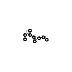 c1ccc(-c2cccc(Nc3ccc(-c4ccc5c(c4)c4ccccc4n5-c4ccc(-c5ccc6oc7ccccc7c6c5)cc4)cc3-c3ccccc3)c2)cc1